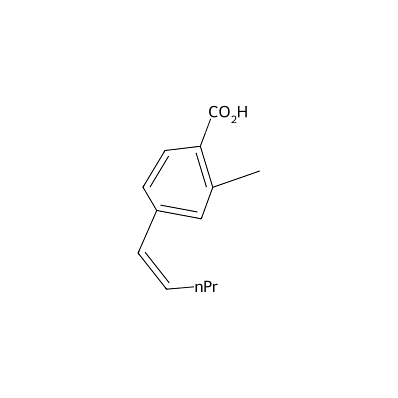 CCC/C=C\c1ccc(C(=O)O)c(C)c1